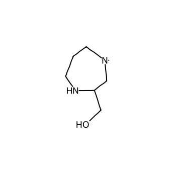 OCC1C[N]CCCN1